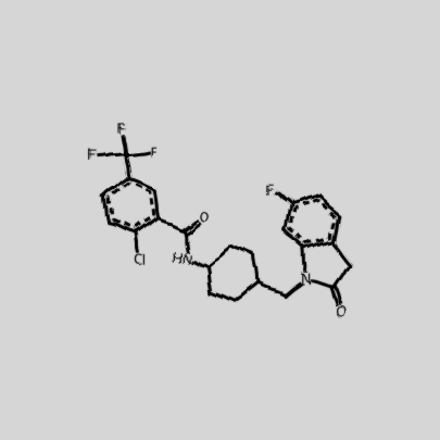 O=C(NC1CCC(CN2C(=O)Cc3ccc(F)cc32)CC1)c1cc(C(F)(F)F)ccc1Cl